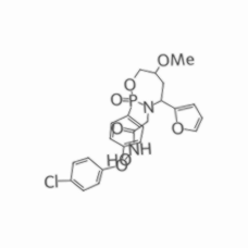 COC1COP(=O)(c2ccc(Oc3ccc(Cl)cc3)cc2)N(CC(=O)NO)C(c2ccco2)C1